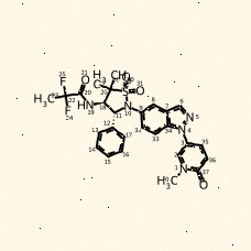 Cn1cc(-n2ncc3cc(N4[C@H](c5ccccc5)[C@@H](NC(=O)C(C)(F)F)C(C)(C)S4(=O)=O)ccc32)ccc1=O